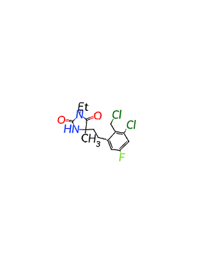 CCN1C(=O)NC(C)(CCc2cc(F)cc(Cl)c2CCl)C1=O